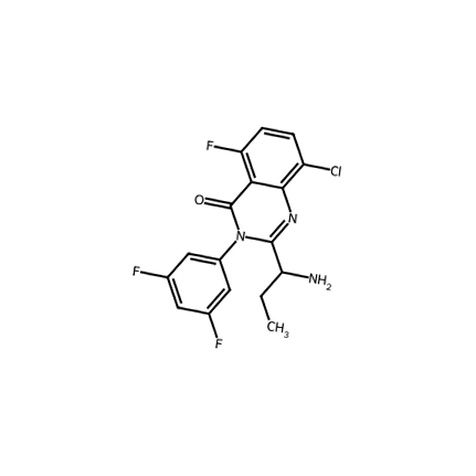 CCC(N)c1nc2c(Cl)ccc(F)c2c(=O)n1-c1cc(F)cc(F)c1